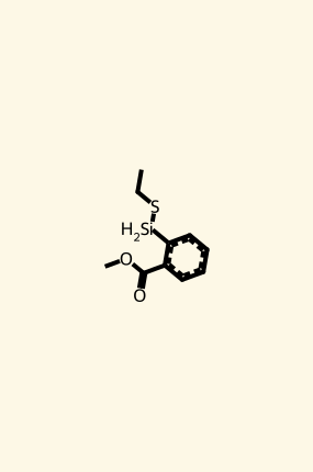 CCS[SiH2]c1ccccc1C(=O)OC